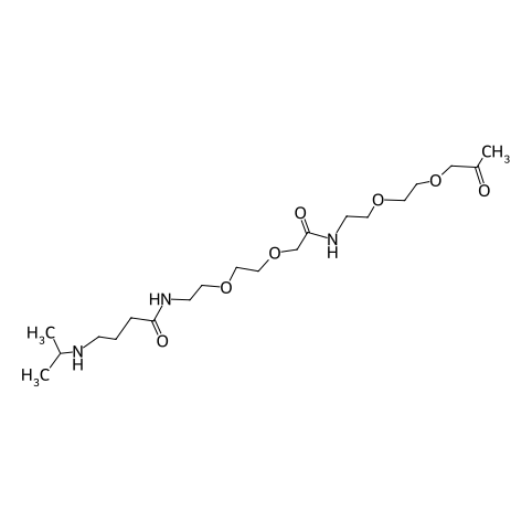 CC(=O)COCCOCCNC(=O)COCCOCCNC(=O)CCCNC(C)C